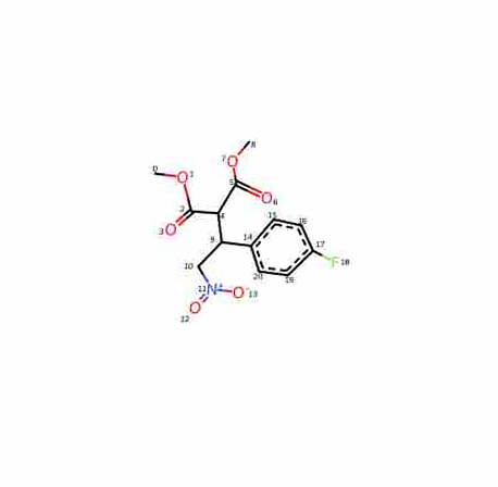 COC(=O)C(C(=O)OC)C(C[N+](=O)[O-])c1ccc(F)cc1